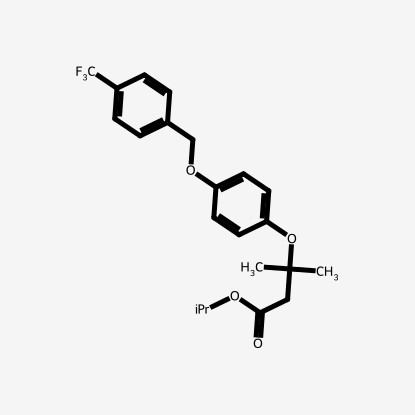 CC(C)OC(=O)CC(C)(C)Oc1ccc(OCc2ccc(C(F)(F)F)cc2)cc1